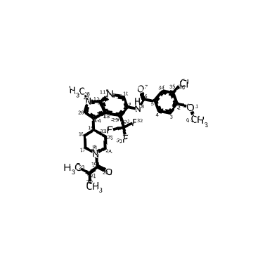 COc1ccc(C(=O)Nc2cnc3c(c(C4CCN(C(=O)C(C)C)CC4)cn3C)c2C(F)(F)F)cc1Cl